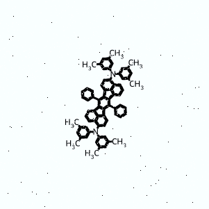 Cc1cc(C)cc(N(c2cc(C)cc(C)c2)c2ccc3c4c(-c5ccccc5)c5c6cccc7c(N(c8cc(C)cc(C)c8)c8cc(C)cc(C)c8)ccc(c5c(-c5ccccc5)c4c4cccc2c43)c76)c1